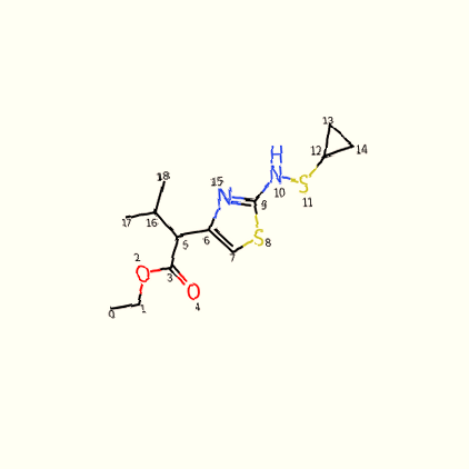 CCOC(=O)C(c1csc(NSC2CC2)n1)C(C)C